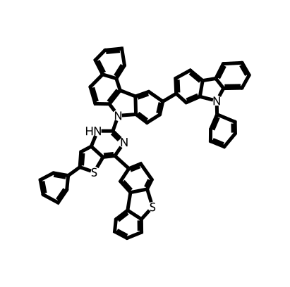 C1=C(c2ccccc2)SC2=C(c3ccc4sc5ccccc5c4c3)N=C(n3c4ccc(-c5ccc6c7ccccc7n(-c7ccccc7)c6c5)cc4c4c5ccccc5ccc43)NC12